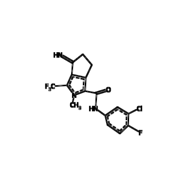 Cn1c(C(=O)Nc2ccc(F)c(Cl)c2)c2c(c1C(F)(F)F)C(=N)CC2